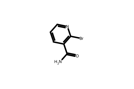 NC(=O)c1[c]ccnc1Br